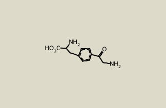 NCC(=O)c1ccc(CC(N)C(=O)O)cc1